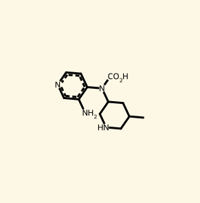 CC1CNCC(N(C(=O)O)c2ccncc2N)C1